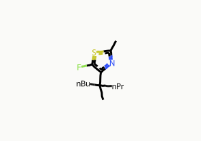 CCCCC(C)(CCC)c1nc(C)sc1F